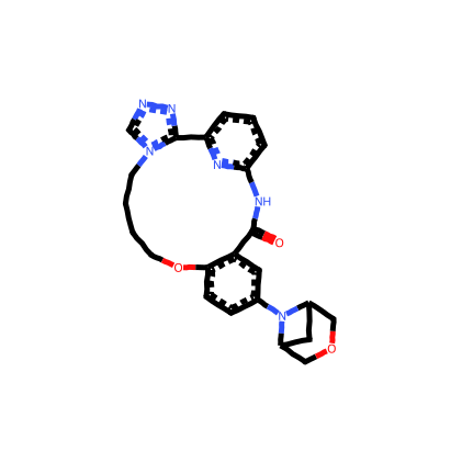 O=C1Nc2cccc(n2)-c2nncn2CCCCOc2ccc(N3C4COCC3C4)cc21